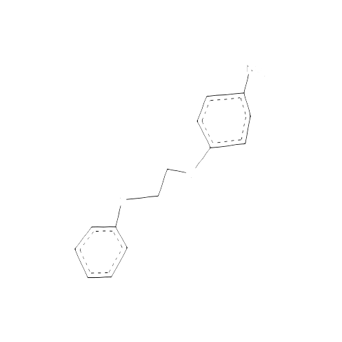 O=[N+]([O-])c1ccc(OCCSc2ccccc2)cc1